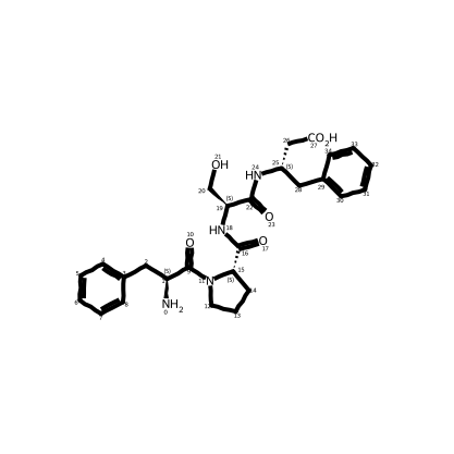 N[C@@H](Cc1ccccc1)C(=O)N1CCC[C@H]1C(=O)N[C@@H](CO)C(=O)N[C@H](CC(=O)O)Cc1ccccc1